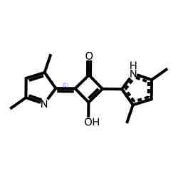 CC1=CC(C)=N/C1=C1/C(=O)C(c2[nH]c(C)cc2C)=C1O